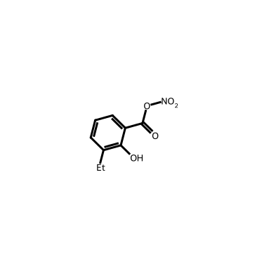 CCc1cccc(C(=O)O[N+](=O)[O-])c1O